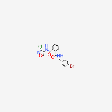 O=C(NCc1ccc(Br)cc1)c1ccccc1C(=O)NC1CON=C1Cl